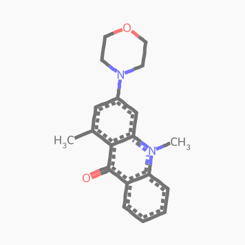 Cc1cc(N2CCOCC2)cc2c1c(=O)c1ccccc1n2C